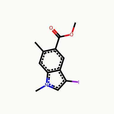 COC(=O)c1cc2c(I)cn(C)c2cc1C